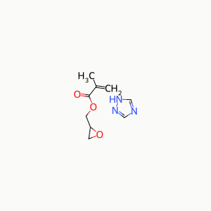 C=C(C)C(=O)OCC1CO1.c1nc[nH]n1